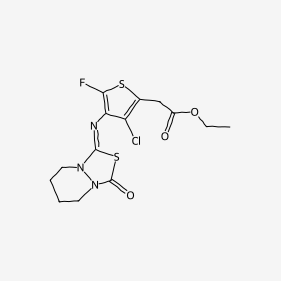 CCOC(=O)Cc1sc(F)c(N=c2sc(=O)n3n2CCCC3)c1Cl